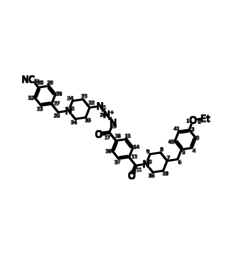 CCOc1ccc(CC2CCN(C(=O)c3ccc(C(=O)N=[N+]=NC4CCN(Cc5ccc(C#N)cc5)CC4)cc3)CC2)cc1